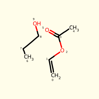 C=COC(C)=O.CCCO